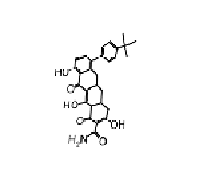 CC(C)(C)c1ccc(-c2ccc(O)c3c2CC2CC4CC(O)=C(C(N)=O)C(=O)C4C(O)=C2C3=O)cc1